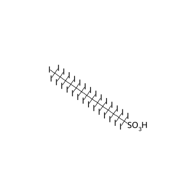 O=S(=O)(O)C(I)(I)C(I)(I)C(I)(I)C(I)(I)C(I)(I)C(I)(I)C(I)(I)C(I)(I)C(I)(I)C(I)(I)C(I)(I)C(I)(I)C(I)(I)C(I)(I)I